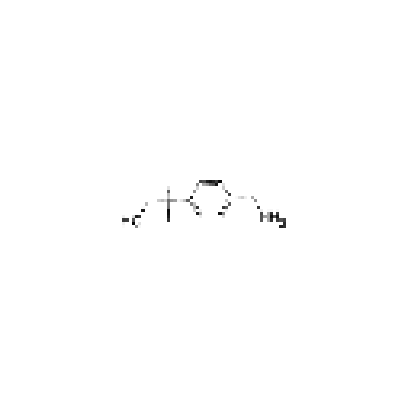 CC(C)(CO)c1ccc(CN)cc1